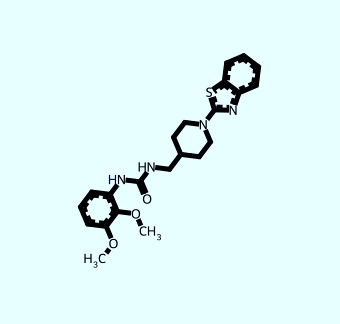 COc1cccc(NC(=O)NCC2CCN(c3nc4ccccc4s3)CC2)c1OC